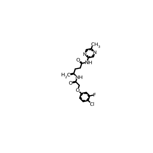 C=C(CCC(=O)Nc1cnc(C)cn1)NC(=O)COc1ccc(Cl)c(F)c1